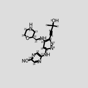 CC(C)(O)C#Cc1nnc(Nc2cnc(C#N)cn2)cc1NC[C@@H]1CNCCO1